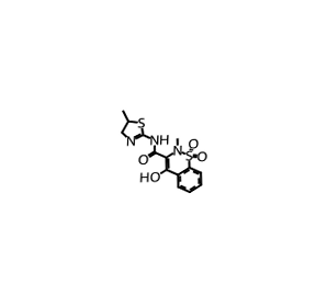 CC1CN=C(NC(=O)C2=C(O)c3ccccc3S(=O)(=O)N2C)S1